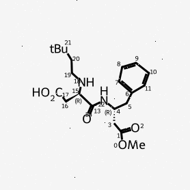 COC(=O)C[C@@H](Cc1ccccc1)NC(=O)[C@@H](CC(=O)O)NCCC(C)(C)C